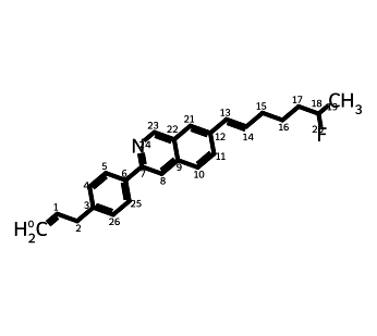 C=CCc1ccc(-c2cc3ccc(C=CCCCC(C)F)cc3cn2)cc1